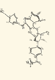 Cn1cnc2nc(Nc3ccc(C#N)cc3)nc(Oc3c(Cl)cc(-c4ccc(C(N)=O)cc4)cc3Cl)c21